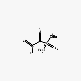 C=C(C)C(=O)P(=O)(OCC(C)C)OCC(C)C